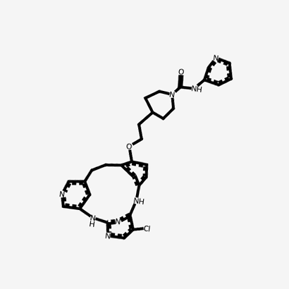 O=C(Nc1cccnc1)N1CCC(CCOc2ccc3cc2CCc2cncc(c2)Nc2ncc(Cl)c(n2)N3)CC1